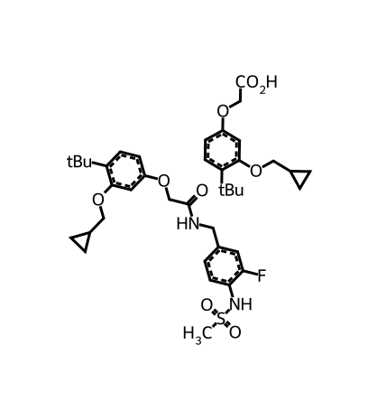 CC(C)(C)c1ccc(OCC(=O)NCc2ccc(NS(C)(=O)=O)c(F)c2)cc1OCC1CC1.CC(C)(C)c1ccc(OCC(=O)O)cc1OCC1CC1